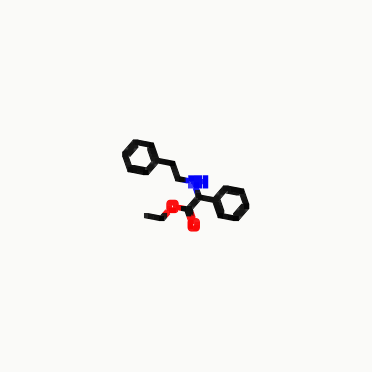 CCOC(=O)C(NCCc1ccccc1)c1ccccc1